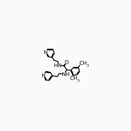 Cc1ccc(C)c(C(NCCc2ccncc2)C(=O)NCCc2cccnc2)c1